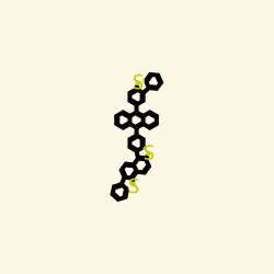 c1ccc2c(c1)sc1ccc(-c3c4ccccc4c(-c4ccc5c(c4)sc4ccc6c(ccc7c8ccccc8sc76)c45)c4ccccc34)cc12